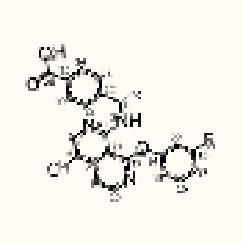 C[C@H](Nc1ncc(Cl)c2ccnc(Oc3cccc(F)c3)c12)c1ccc(C(=O)O)cc1